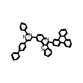 c1ccc(-c2ccc(-c3cc(-c4ccc5nc(-c6ccc7c8ccccc8c8ccccc8c7c6)c6c7ccccc7sc6c5c4)nc(-c4ccccc4)n3)cc2)cc1